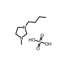 CCCCN1CCN(C)C1.O=S(=O)(O)O